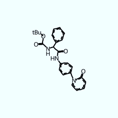 CC(C)(C)OC(=O)NC(C(=O)Nc1ccc(-n2ccccc2=O)cc1)c1ccccc1